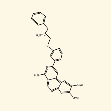 COc1cc2ncc3c(N)nc(-c4cncc(OC[C@H](N)Cc5ccccc5)c4)cc3c2cc1OC